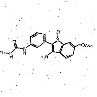 CCNC(=O)Nc1cccc(-c2c(N)c3ccc(OC)cc3n2CC)c1